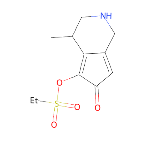 CCS(=O)(=O)OC1=C2C(=CC1=O)CNCC2C